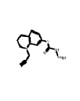 C#CCN1CCCc2ccc(OC(=O)NCCCCCCC)cc21